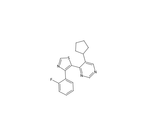 Fc1ccccc1-c1ncsc1-c1n[c]ncc1C1CCCC1